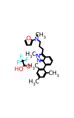 Cc1cc(C)c(-c2cccc3c(CCCN(C)c4ccco4)n(C)nc23)c(C)c1.O=C(O)C(F)(F)F